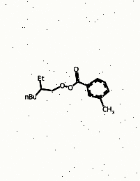 CCCCC([CH]OOC(=O)c1cccc(C)c1)CC